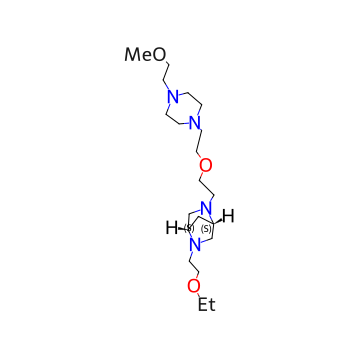 CCOCCN1C[C@@H]2C[C@H]1CN2CCOCCN1CCN(CCOC)CC1